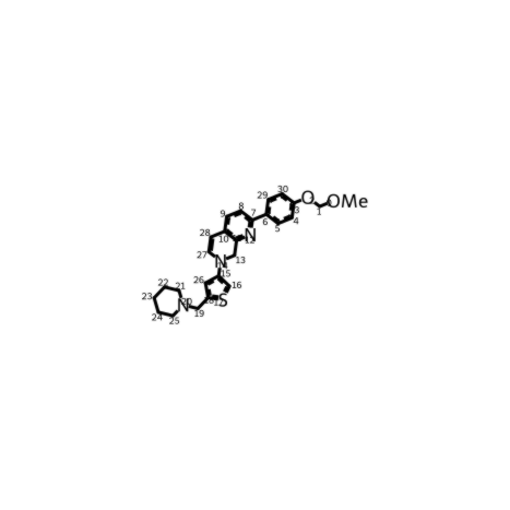 COCOc1ccc(-c2ccc3c(n2)CN(c2csc(CN4CCCCC4)c2)C=C3)cc1